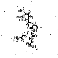 CCCC[C@H](NC)C(=O)N(C)[C@@H](CCCC)C(=O)N[C@@H](CC(C)C)C(=O)N[C@@H](CSCC(=O)NO)C(=O)NCC(N)=O